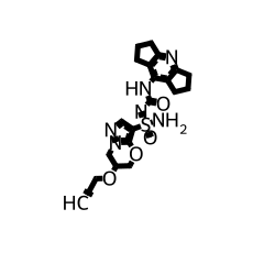 C#CCOC1COc2c(S(N)(=O)=NC(=O)Nc3c4c(nc5c3CCC5)CCC4)cnn2C1